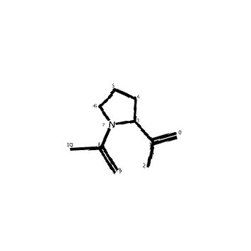 C=C(C)C1CCCN1C(=C)C